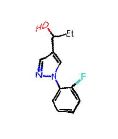 CCC(O)c1cnn(-c2ccccc2F)c1